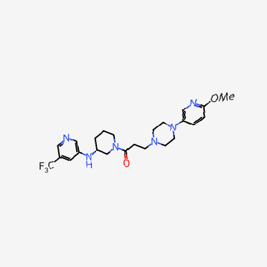 COc1ccc(N2CCN(CCC(=O)N3CCC[C@H](Nc4cncc(C(F)(F)F)c4)C3)CC2)cn1